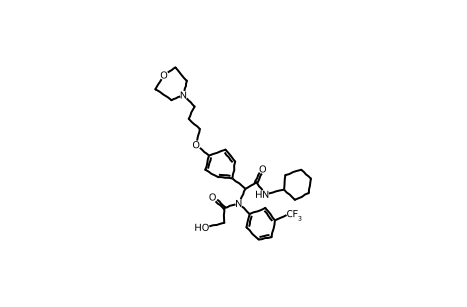 O=C(NC1CCCCC1)C(c1ccc(OCCCN2CCOCC2)cc1)N(C(=O)CO)c1cccc(C(F)(F)F)c1